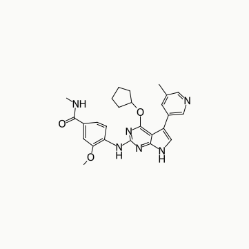 CNC(=O)c1ccc(Nc2nc(OC3CCCC3)c3c(-c4cncc(C)c4)c[nH]c3n2)c(OC)c1